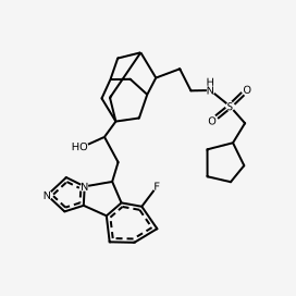 O=S(=O)(CC1CCCC1)NCCC1C2CC3CC1CC(C(O)CC1c4c(F)cccc4-c4cncn41)(C3)C2